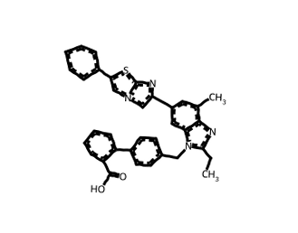 CCc1nc2c(C)cc(-c3cn4cc(-c5ccccc5)sc4n3)cc2n1Cc1ccc(-c2ccccc2C(=O)O)cc1